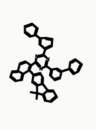 CC1(C)c2ccccc2-c2ccc(-c3c(-c4nc(-c5cccc(-c6ccccc6)c5)nc(-c5cccc(-c6ccccc6)c5)n4)ccc4ccccc34)cc21